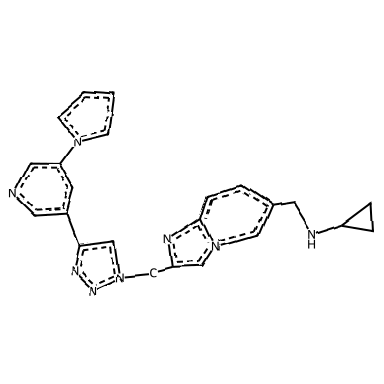 c1ccn(-c2cncc(-c3cn(Cc4cn5cc(CNC6CC6)ccc5n4)nn3)c2)c1